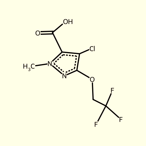 Cn1nc(OCC(F)(F)F)c(Cl)c1C(=O)O